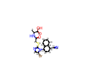 CC(NC(=O)CSc1ncc(Br)n1-c1ccc(C#N)c2ccccc12)C(=O)O